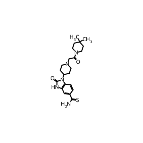 CC1(C)CCN(C(=O)CN2CCC(n3c(=O)[nH]c4cc(C(N)=S)ccc43)CC2)CC1